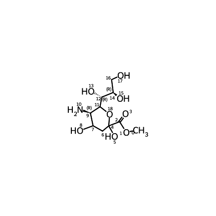 COC(=O)C1(O)CC(O)[C@@H](N)C([C@H](O)[C@H](O)CO)O1